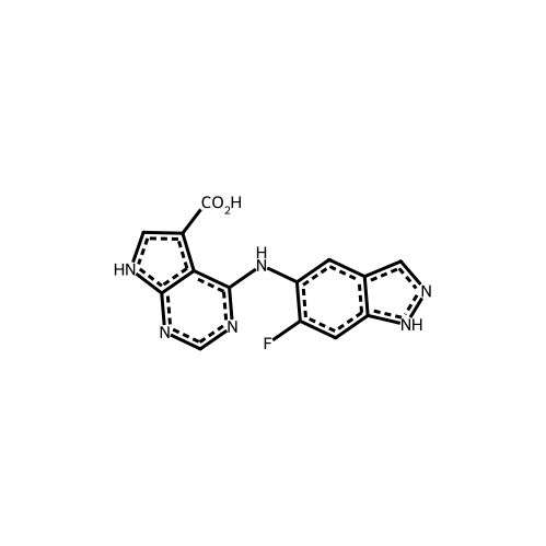 O=C(O)c1c[nH]c2ncnc(Nc3cc4cn[nH]c4cc3F)c12